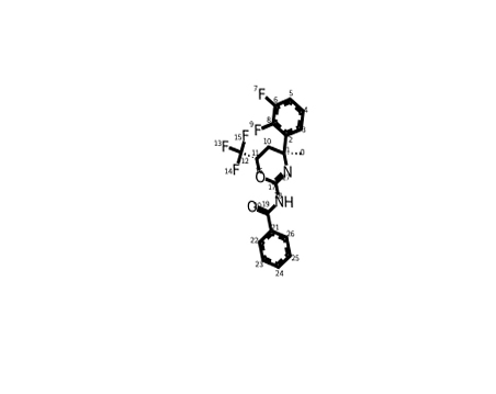 C[C@@]1(c2cccc(F)c2F)C[C@@H](C(F)(F)F)OC(NC(=O)c2ccccc2)=N1